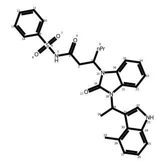 CCCC(CC(=O)NS(=O)(=O)c1ccccc1)n1c(=O)n(C(C)c2c[nH]c3cccc(C)c23)c2ccccc21